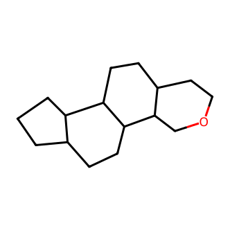 C1CC2CCC3C4COCCC4CCC3C2C1